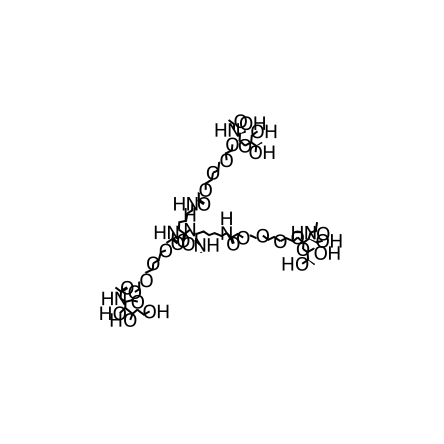 CNC(=O)C(CCCCNC(=O)COCCOCCOCCOC(OC(CO)[C@@H](C)O)[C@H](CO)NC(C)=O)NC(=O)C(CCCCNC(=O)COCCOCCOCCOC(OC(CO)[C@@H](C)O)[C@H](CO)NC(C)=O)NC(=O)COCCOCCOCCOC1OC(CO)C(O)C(O)C1NC(C)=O